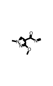 C=NC(=O)c1cn(C)nc1OC